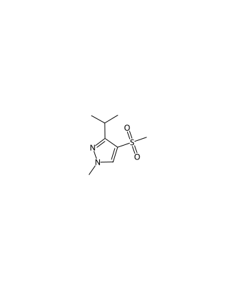 CC(C)c1nn(C)cc1S(C)(=O)=O